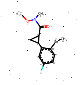 CON(C)C(=O)C1CC1c1cc(F)ccc1[Se]C